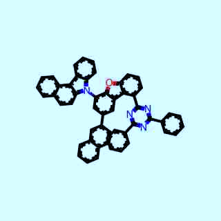 c1ccc(-c2nc(-c3ccccc3)nc(-c3cccc4oc5c(-n6c7ccccc7c7c8ccccc8ccc76)cc(-c6ccc7ccccc7c6)cc5c34)n2)cc1